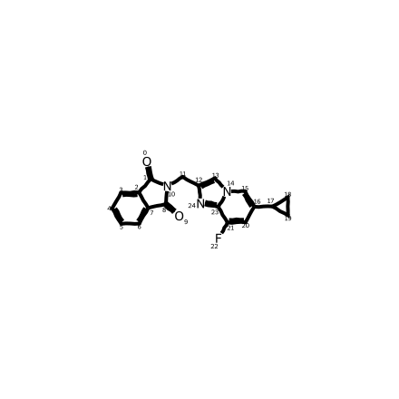 O=C1c2ccccc2C(=O)N1Cc1cn2cc(C3CC3)cc(F)c2n1